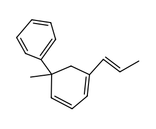 CC=CC1=CC=CC(C)(c2ccccc2)C1